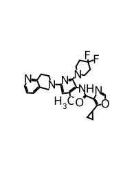 Cc1cc(N2CCc3ncccc3C2)nc(N2CCC(F)(F)CC2)c1NC(=O)c1ncoc1C1CC1